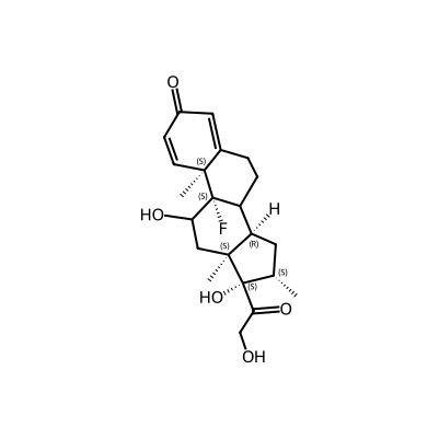 C[C@H]1C[C@@H]2C3CCC4=CC(=O)C=C[C@]4(C)[C@]3(F)C(O)C[C@]2(C)[C@]1(O)C(=O)CO